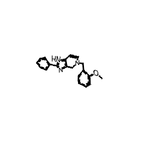 COc1ccccc1CN1C=Cc2[nH]c(-c3ccccc3)nc2C1